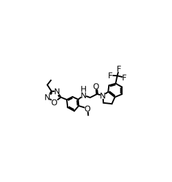 CCc1noc(-c2ccc(OC)c(NCC(=O)N3CCc4ccc(C(F)(F)F)cc43)c2)n1